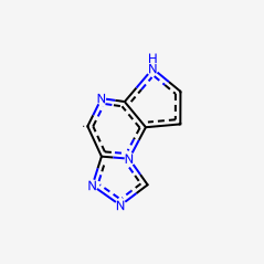 [c]1nc2[nH]ccc2n2cnnc12